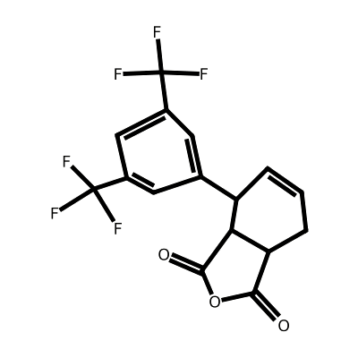 O=C1OC(=O)C2C1CC=CC2c1cc(C(F)(F)F)cc(C(F)(F)F)c1